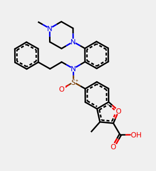 Cc1c(C(=O)O)oc2ccc([S+]([O-])N(CCc3ccccc3)c3ccccc3N3CCN(C)CC3)cc12